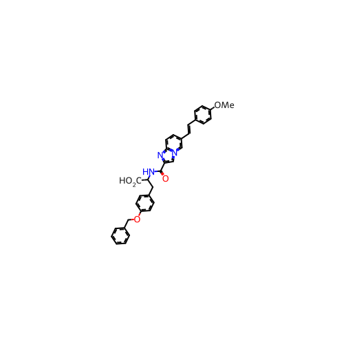 COc1ccc(/C=C/c2ccc3nc(C(=O)NC(Cc4ccc(OCc5ccccc5)cc4)C(=O)O)cn3c2)cc1